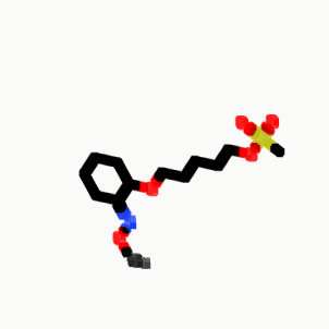 CC(C)(C)ON=C1CCCCC1OCCCCCOS(C)(=O)=O